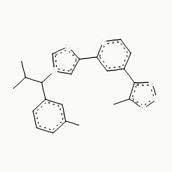 Cc1[nH]nnc1-c1ccnc(-c2cn(C(c3cccc(Cl)c3)C(C)C)cn2)c1